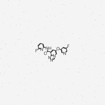 O=C(Nc1cccc(F)n1)c1cc(Oc2cncc(F)c2)cn2cnnc12